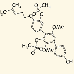 COc1cc(-c2ccc(C)cc2)c(OC)c(OS(C)(=O)=O)c1-c1ccc(OCCC=C(C)C)c(OS(C)(=O)=O)c1